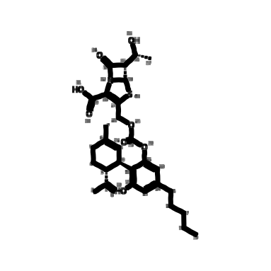 C=C(C)[C@@H]1CCC(C)=C[C@H]1c1c(O)cc(CCCCC)cc1OC(=O)OCC1=C(C(=O)O)N2C(=O)[C@H]([C@@H](C)O)C2S1